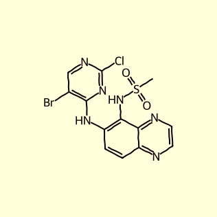 CS(=O)(=O)Nc1c(Nc2nc(Cl)ncc2Br)ccc2nccnc12